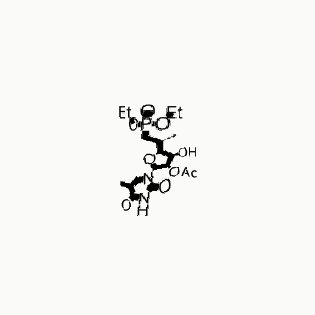 CCOP(=O)(C[C@H](C)[C@H]1O[C@@H](n2cc(C)c(=O)[nH]c2=O)[C@H](OC(C)=O)[C@@H]1O)OCC